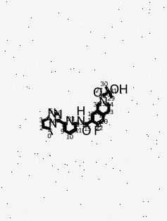 C[C@H]1CCc2nnc(-c3cccc(NC(=O)c4cc5c(cc4F)CCN(C(=O)C(C)(C)O)C5)n3)n21